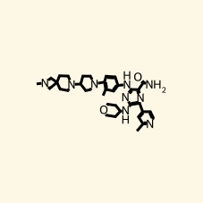 Cc1cc(-c2nc(C(N)=O)c(Nc3ccc(N4CCC(N5CCC6(CC5)CN(C)C6)CC4)c(C)c3)nc2NC2CCOCC2)ccn1